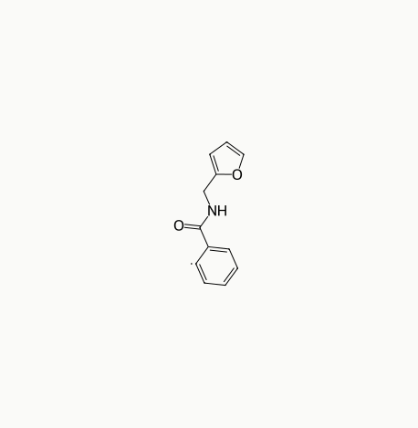 O=C(NCc1ccco1)c1[c]cccc1